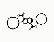 O=C(Cl)c1c(C2CCCCCCCCCC2)sc2c(C(=O)Cl)c(C3CCCCCCCCC3)sc12